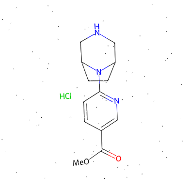 COC(=O)c1ccc(N2C3CCC2CNC3)nc1.Cl